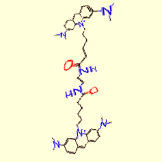 CN(C)c1ccc2cc3ccc(N(C)C)cc3[n+](CCCCCC(=O)NCCNC(=O)CCCCC[n+]3c4cc(N(C)C)ccc4cc4ccc(N(C)C)cc43)c2c1